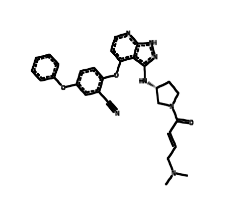 CN(C)CC=CC(=O)N1CC[C@@H](Nc2n[nH]c3nccc(Oc4ccc(Oc5ccccc5)cc4C#N)c23)C1